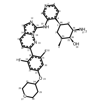 C[C@H]1C[C@@H](c2ccncc2Nc2ncc3ccc(-c4c(F)cc(OC5CCOCC5)cc4F)nn23)C[C@@H](N)[C@H]1O